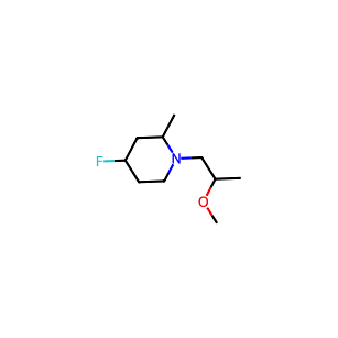 COC(C)CN1CCC(F)CC1C